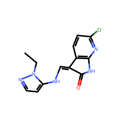 CCn1nccc1NC=C1C(=O)Nc2nc(Cl)ccc21